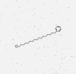 [O]CCCCCCCCCCCCCCCCCc1ccccc1